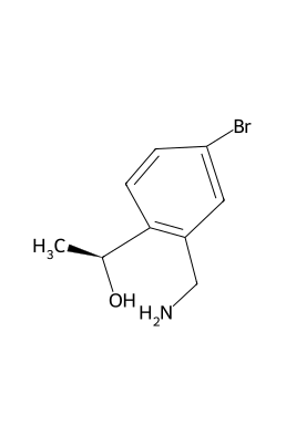 C[C@H](O)c1ccc(Br)cc1CN